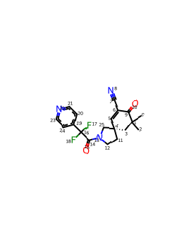 CC1(C)C[C@]2(C=C(C#N)C1=O)CCN(C(=O)C(F)(F)c1ccncc1)C2